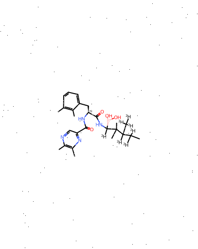 [2H]C([2H])([2H])C([2H])(C([2H])([2H])C)C(C)(C)C([2H])(NC(=O)[C@H](Cc1cccc(C)c1C)NC(=O)c1cnc(C)c(C)n1)B(O)O